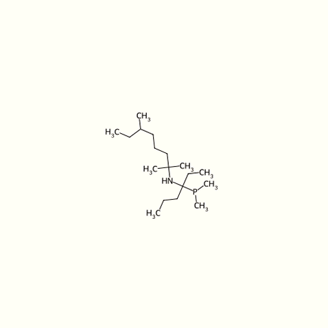 CCCC(CC)(NC(C)(C)CCCC(C)CC)P(C)C